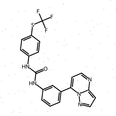 O=C(Nc1ccc(SC(F)(F)F)cc1)Nc1cccc(-c2ccnc3ccnn23)c1